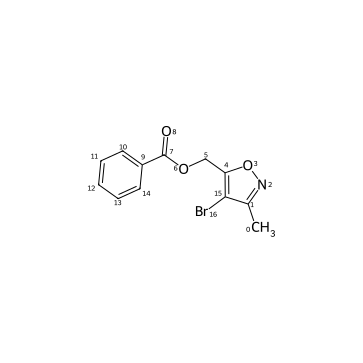 Cc1noc(COC(=O)c2ccccc2)c1Br